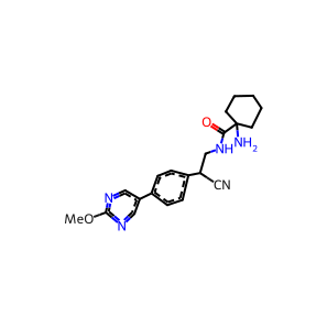 COc1ncc(-c2ccc(C(C#N)CNC(=O)C3(N)CCCCC3)cc2)cn1